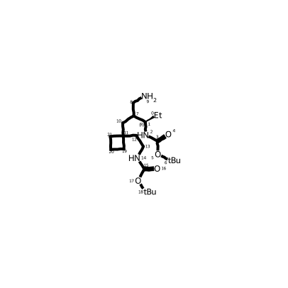 CC[C@@H](NC(=O)OC(C)(C)C)C(CN)CC1(CCNC(=O)OC(C)(C)C)CCC1